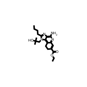 CCCCc1nc2c(N)nc3c(c2n1CC(C)(C)O)CCC(C(=O)OCC)=C3